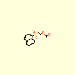 O=[C]OC[CH]S(=O)(=O)c1cccc2ccccc12